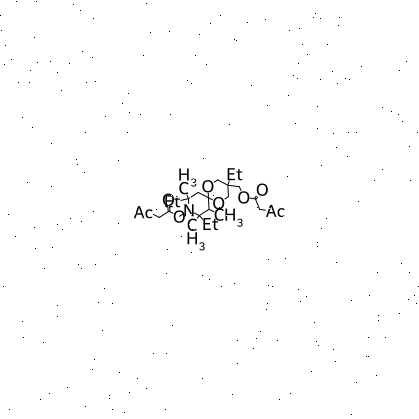 CCC1(COC(=O)CC(C)=O)COC2(CC(C)(CC)N(OC(=O)CC(C)=O)C(C)(CC)C2C)OC1